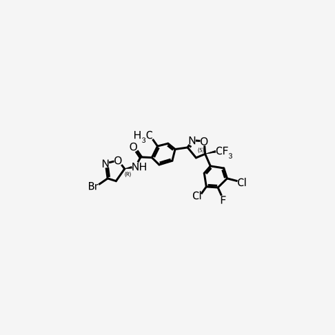 Cc1cc(C2=NO[C@@](c3cc(Cl)c(F)c(Cl)c3)(C(F)(F)F)C2)ccc1C(=O)N[C@H]1CC(Br)=NO1